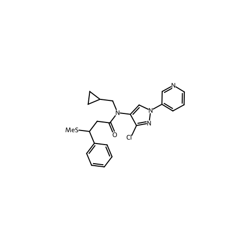 CSC(CC(=O)N(CC1CC1)c1cn(-c2cccnc2)nc1Cl)c1ccccc1